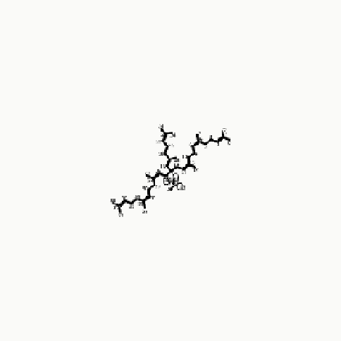 CC(C)=CCCC(C)=CCCC(C)=CCC(/C=C(\C)CCC=C(C)C)(CC=C(C)CCC=C(C)CCC=C(C)C)OS(C)(=O)=O